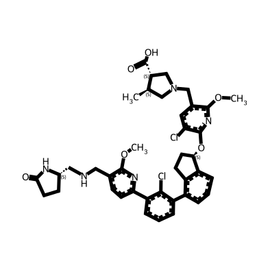 COc1nc(-c2cccc(-c3cccc4c3CC[C@@H]4Oc3nc(OC)c(CN4C[C@@H](C)[C@H](C(=O)O)C4)cc3Cl)c2Cl)ccc1CNC[C@@H]1CCC(=O)N1